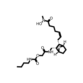 CCCCNC(=O)OCC(=O)NC[C@@H]1[C@H](C/C=C\CCCC(=O)N(C)O)[C@@H]2CC[C@H]1O2